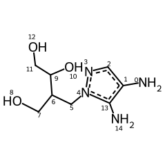 Nc1cnn(CC(CO)C(O)CO)c1N